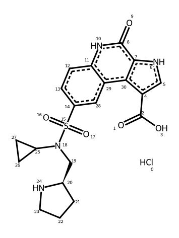 Cl.O=C(O)c1c[nH]c2c(=O)[nH]c3ccc(S(=O)(=O)N(C[C@H]4CCCN4)C4CC4)cc3c12